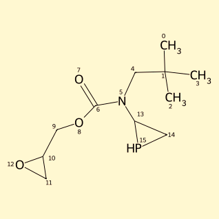 CC(C)(C)CN(C(=O)OCC1CO1)C1CP1